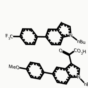 CCCCn1c[c]c2cc(-c3ccc(C(F)(F)F)cc3)ccc21.CCCCn1cc(C(=O)C(=O)O)c2cc(-c3ccc(OC)cc3)ccc21